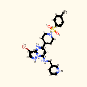 CC(C)c1ccc(S(=O)(=O)N2CCC(c3cc(NCc4cccnc4)n4ncc(Br)c4n3)CC2)cc1